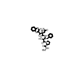 CC(C)(C)NC(=O)[C@@H]1CCCN1C(=O)C(O)[C@H](Cc1ccccc1)NC(=O)[C@@](N)(CC(N)=O)C(=O)c1cnc2ccccc2n1